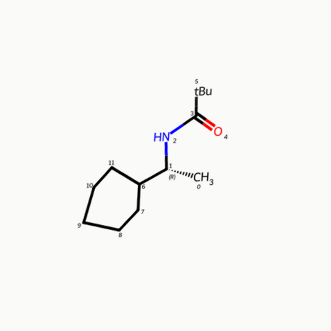 C[C@@H](NC(=O)C(C)(C)C)C1CCCCC1